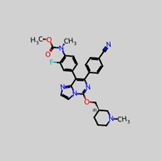 COC(=O)N(C)c1ccc(-c2c(-c3ccc(C#N)cc3)nc(OC[C@@H]3CCCN(C)C3)n3ccnc23)cc1F